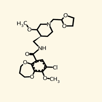 COc1c(Cl)cc(C(=O)NC[C@@H]2CCN(CC3OCCO3)CC2OC)c2c1OCCCO2